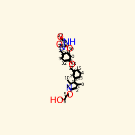 Cc1cc(OCCO)nc(C)c1-c1cccc(COc2ccc(Cn3oc(=O)[nH]c3=O)cc2)c1